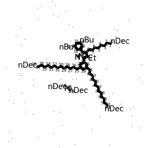 CCCCCCCCCCCCCCCCC=CC1=C(c2cc(CCCC)cc(CCCC)c2)[N+](=[N-])C(c2cc(CCCCCCCCCCCCCCCCCCCCCCC)cc(CCCCCCCCCCCCCCCCCCCCCCC)c2)=C1CC.CCCCCCCCC[CH2][Ni][CH2]CCCCCCCCC